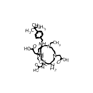 CCN1CCN(CC(=O)O)CC2(N)CNCCNCC(NCc3ccc(C(C)(C)C)cc3)(C1)CN(CC(=O)O)CCN(CC(=O)O)C2